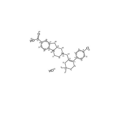 CC1(C)CCC(c2ccc(Cl)cc2)=C(CN2CCN3c4ccc(C(=O)O)cc4CC3C2)C1.Cl